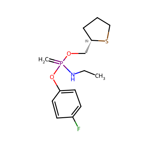 C=P(NCC)(OC[C@@H]1CCCS1)Oc1ccc(F)cc1